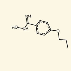 CCCOc1ccc(C(=N)NO)cc1